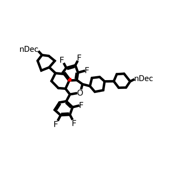 CCCCCCCCCCC1CCC(C2CCC(C(OC(c3ccc(F)c(F)c3F)C3CCC(C4CCC(CCCCCCCCCC)CC4)CC3)c3ccc(F)c(F)c3F)CC2)CC1